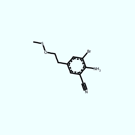 CSOCCc1cc(Br)c(N)c(C#N)c1